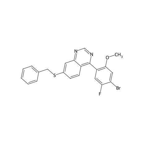 COc1cc(Br)c(F)cc1-c1ncnc2cc(SCc3ccccc3)ccc12